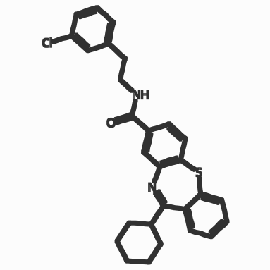 O=C(NCCc1cccc(Cl)c1)c1ccc2c(c1)N=C(C1CCCCC1)c1ccccc1S2